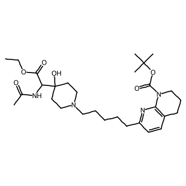 CCOC(=O)C(NC(C)=O)C1(O)CCN(CCCCCc2ccc3c(n2)N(C(=O)OC(C)(C)C)CCC3)CC1